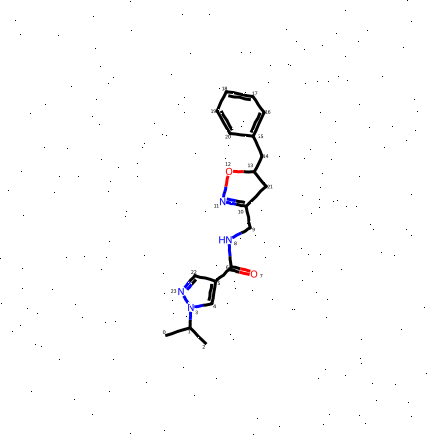 CC(C)n1cc(C(=O)NCC2=NOC(Cc3ccccc3)C2)cn1